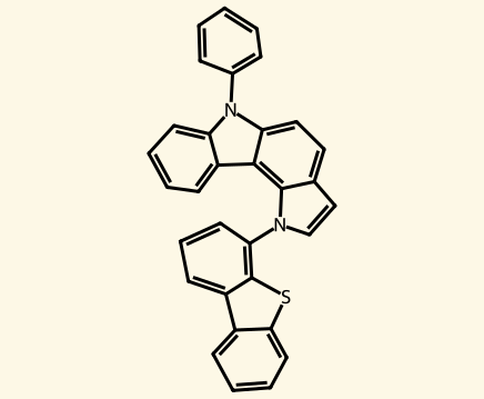 c1ccc(-n2c3ccccc3c3c4c(ccc32)ccn4-c2cccc3c2sc2ccccc23)cc1